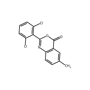 Cc1ccc2nc(-c3c(Cl)cccc3Cl)oc(=O)c2c1